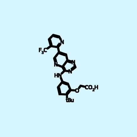 CC(C)(C)c1ccc(Nc2ncnc3cc(-c4ncccc4C(F)(F)F)cnc23)cc1OCC(=O)O